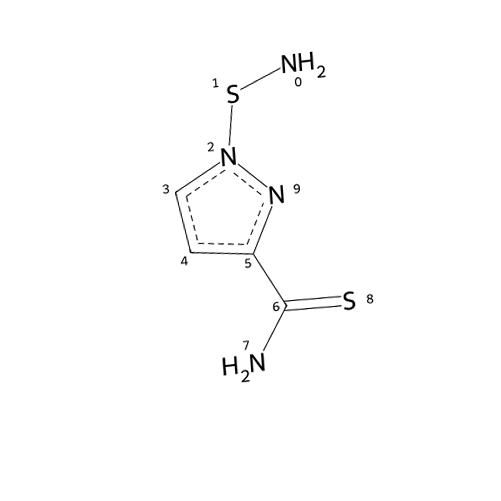 NSn1ccc(C(N)=S)n1